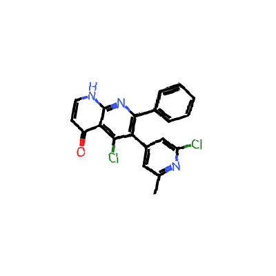 Cc1cc(-c2c(-c3ccccc3)nc3[nH]ccc(=O)c3c2Cl)cc(Cl)n1